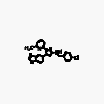 Cc1cccc(-n2nc(NCc3ccc(Cl)cc3)cc2-c2ccc3ncsc3c2)n1